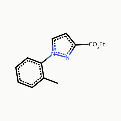 CCOC(=O)c1ccn(-c2ccccc2C)n1